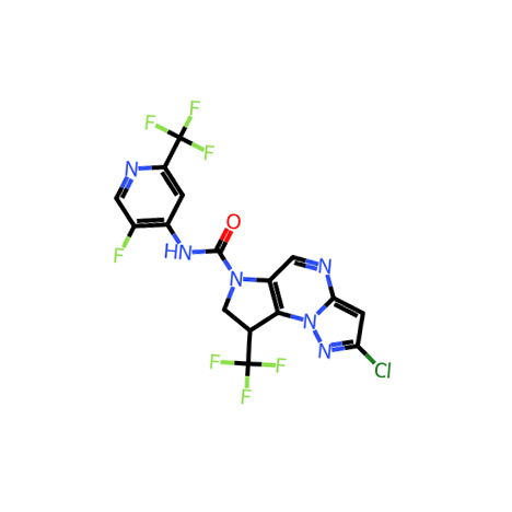 O=C(Nc1cc(C(F)(F)F)ncc1F)N1CC(C(F)(F)F)c2c1cnc1cc(Cl)nn21